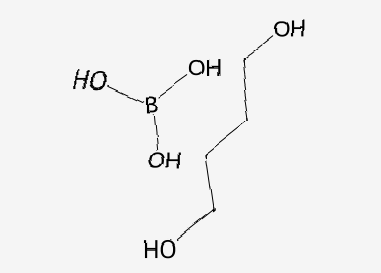 OB(O)O.OCCCCO